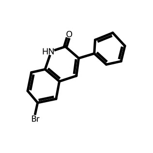 O=c1[nH]c2ccc(Br)cc2cc1-c1ccccc1